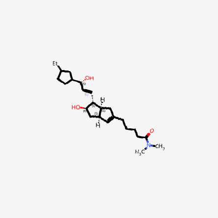 CCC1CCC([C@H](O)/C=C/[C@@H]2[C@H]3CC(CCCCC(=O)N(C)C)=C[C@H]3C[C@H]2O)C1